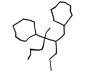 CCCC(CC1CCCCC1)C(C)(CCC)C1CCCCC1